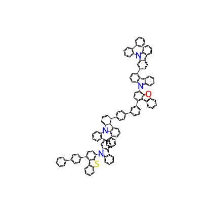 C1=CC(c2ccc(-c3cccc(-c4ccc(-n5c6ccccc6c6c(-c7ccc8c9ccccc9n(-c9ccccc9-c9ccccc9)c8c7)cccc65)c5oc6ccccc6c45)c3)cc2)C2C(=C1)N(c1ccccc1-c1ccccc1)c1c(-c3ccc4c(c3)c3ccccc3n4-c3ccc(-c4ccc(-c5ccccc5)cc4)c4c3sc3ccccc34)cccc12